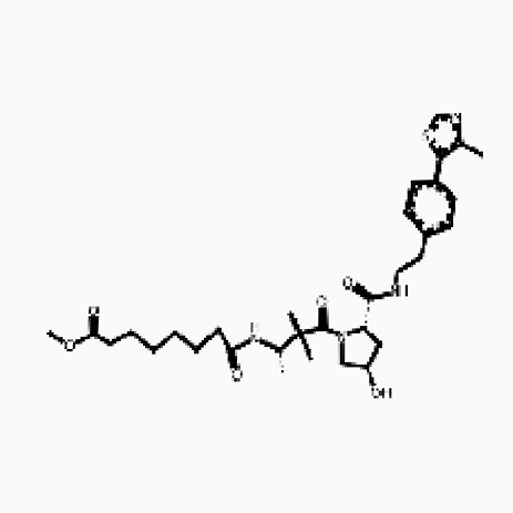 COC(=O)CCCCCCC(=O)N[C@@H](C)C(C)(C)C(=O)N1C[C@H](O)C[C@H]1C(=O)NCCc1ccc(-c2scnc2C)cc1